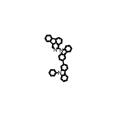 c1ccc(-n2c3ccccc3c3ccc(-c4ccc5c(c4)c4ccccc4n5-c4ncc5c6c(cccc46)-c4ccccc4-5)cc32)cc1